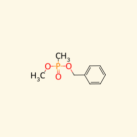 COP(C)(=O)OCc1ccccc1